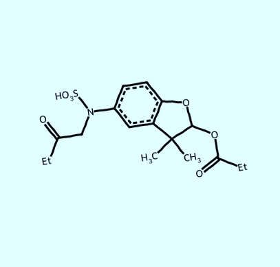 CCC(=O)CN(c1ccc2c(c1)C(C)(C)C(OC(=O)CC)O2)S(=O)(=O)O